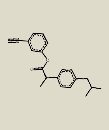 C#Cc1cccc(OC(=O)C(C)c2ccc(CC(C)C)cc2)c1